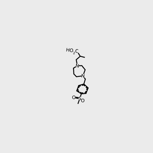 CC(CN1CCCN(Cc2ccc(S(C)(=O)=O)cc2)CC1)C(=O)O